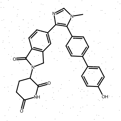 Cn1cnc(-c2ccc3c(c2)CN(C2CCC(=O)NC2=O)C3=O)c1-c1ccc(-c2ccc(O)cc2)cc1